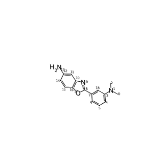 CN(C)c1cccc(-c2nc3cc(N)ccc3o2)c1